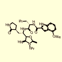 C=C1OC([C@H](C[C@@H]2CCNC2=O)NC(=O)[C@H](CC(C)C)NC(=O)c2cc3c(OC)cccc3[nH]2)C(=N)N1CCC